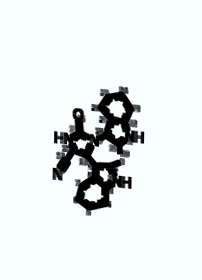 Cc1[nH]c2ccccc2c1-c1c(C#N)[nH]c(=O)n1-c1c(C)[nH]c2ccccc12